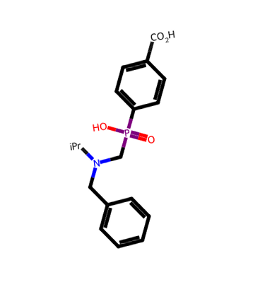 CC(C)N(Cc1ccccc1)CP(=O)(O)c1ccc(C(=O)O)cc1